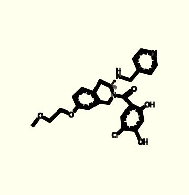 COCCOc1ccc2c(c1)CN(C(=O)c1cc(Cl)c(O)cc1O)[C@@H](NCc1ccncc1)C2